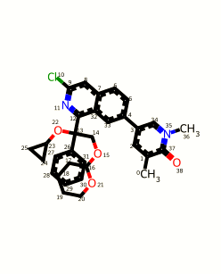 Cc1cc(-c2ccc3cc(Cl)nc(C(COC4CCCCO4)(OC4CC4)c4ccccc4)c3c2)cn(C)c1=O